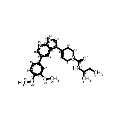 CCC(C)NC(=O)N1CC=C(c2c[nH]c3ncc(-c4ccc(OC)c(OC)c4)cc23)CC1